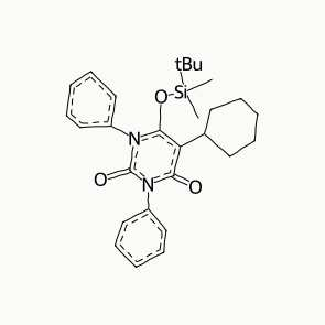 CC(C)(C)[Si](C)(C)Oc1c(C2CCCCC2)c(=O)n(-c2ccccc2)c(=O)n1-c1ccccc1